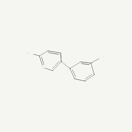 N#Cc1ccc(-c2cccc(F)c2)cn1